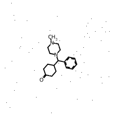 CN1CCN(C(c2ccccc2)C2CCC(=O)CC2)CC1